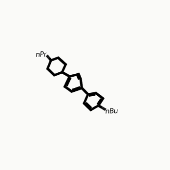 CCCCc1ccc(-c2ccc(C3CCC(CCC)CC3)cc2)cc1